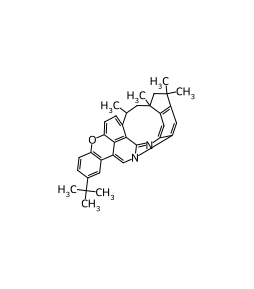 CC1CC2(C)CC(C)(C)c3cc4c(cc32)nc2c3c1ccc1oc5ccc(C(C)(C)C)cc5c(cn42)c13